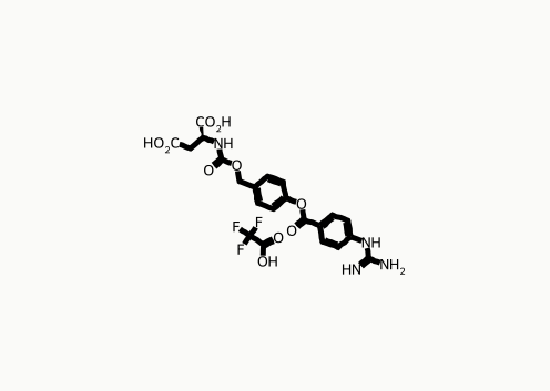 N=C(N)Nc1ccc(C(=O)Oc2ccc(COC(=O)N[C@@H](CC(=O)O)C(=O)O)cc2)cc1.O=C(O)C(F)(F)F